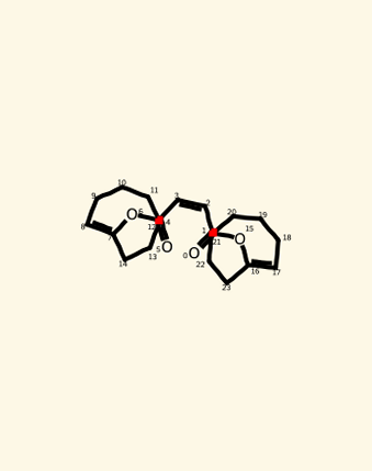 O=C(/C=C\C(=O)O/C1=C\CCCCCC1)O/C1=C\CCCCCC1